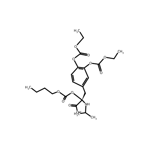 CCCCOC(=O)O[C@](Cc1ccc(OC(=O)OCC)c(OC(=O)OCC)c1)(NC(C)C)C(=O)O